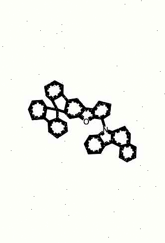 c1ccc2c(c1)-c1ccccc1C21c2ccccc2-c2cc3c(cc21)oc1c(-n2c4ccccc4c4c5ccccc5ccc42)cccc13